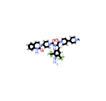 CN1CCC(C2CCN(C(=O)[C@@H](Cc3cc(C(F)(F)F)c(N)c(C(F)(F)F)c3)NC(=O)N3CCC(N4CCc5ccccc5NC4=O)CC3)CC2)CC1